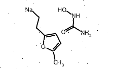 Cc1ccc(C[CH2][Na])o1.NC(=O)NO